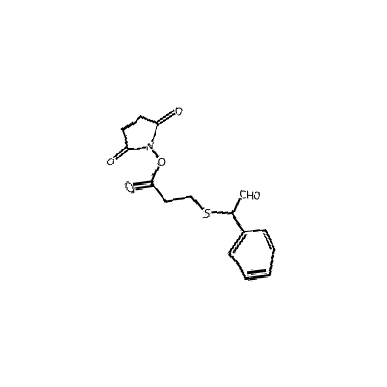 O=CC(SCCC(=O)ON1C(=O)CCC1=O)c1ccccc1